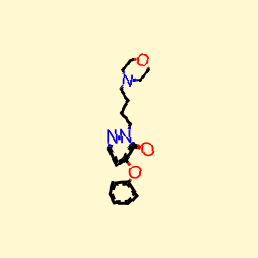 O=c1c(Oc2ccccc2)ccnn1CCCCN1CCOCC1